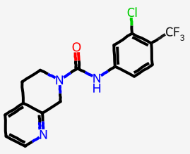 O=C(Nc1ccc(C(F)(F)F)c(Cl)c1)N1CCc2cccnc2C1